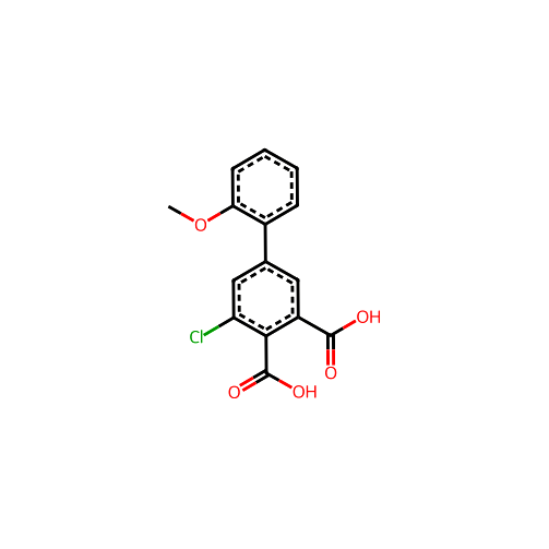 COc1ccccc1-c1cc(Cl)c(C(=O)O)c(C(=O)O)c1